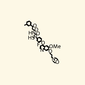 COc1cc2c(Oc3ccc(N(S)C(=O)NC(=O)CC(=O)c4cccc(C)c4)cc3F)ccnc2cc1OCCCN1CCOCC1